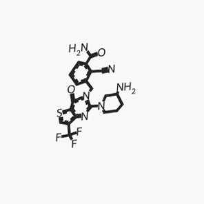 N#Cc1c(Cn2c(N3CCCC(N)C3)nc3c(C(F)(F)F)csc3c2=O)cccc1C(N)=O